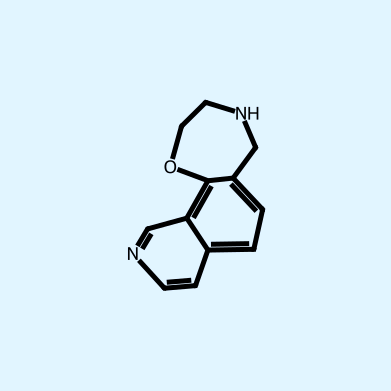 c1cc2ccc3c(c2cn1)OCCNC3